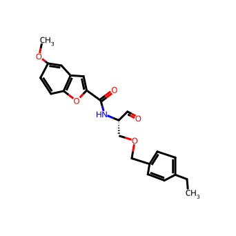 CCc1ccc(COC[C@@H](C=O)NC(=O)c2cc3cc(OC)ccc3o2)cc1